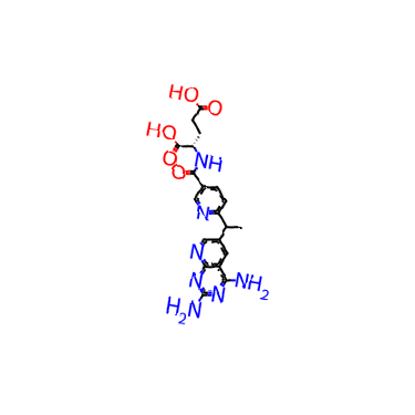 CC(c1cnc2nc(N)nc(N)c2c1)c1ccc(C(=O)N[C@@H](CCC(=O)O)C(=O)O)cn1